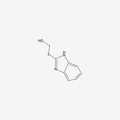 OCSc1nc2ccccc2[nH]1